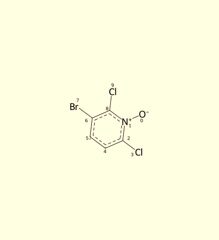 [O-][n+]1c(Cl)c[c]c(Br)c1Cl